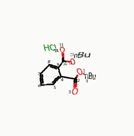 CCCCOC(=O)c1ccccc1C(=O)OCCCC.Cl